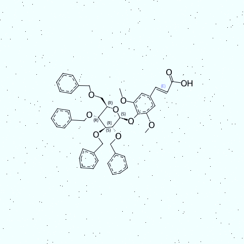 COc1cc(/C=C/C(=O)O)cc(OC)c1O[C@@H]1O[C@H](COCc2ccccc2)[C@@H](OCc2ccccc2)[C@H](OCc2ccccc2)[C@H]1OCc1ccccc1